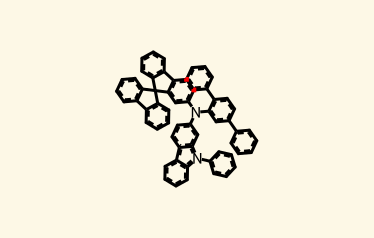 c1ccc(-c2ccc(-c3ccccc3)c(N(c3ccc4c(c3)C3(c5ccccc5-c5ccccc53)c3ccccc3-4)c3ccc4c5ccccc5n(-c5ccccc5)c4c3)c2)cc1